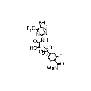 Bc1nnc(NC(=O)[C@@](C)(O)CS(=O)(=O)c2ccc(C(=O)NC)c(F)c2)nc1C(F)(F)F